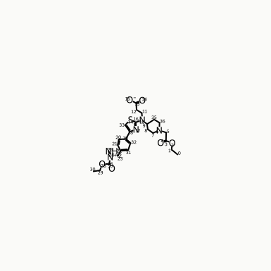 CCOC(=O)CN1CCC(N(CCC(=O)[O-])c2nc(-c3ccc(C=[N+](N)C(=O)OCC)cc3)cs2)CC1